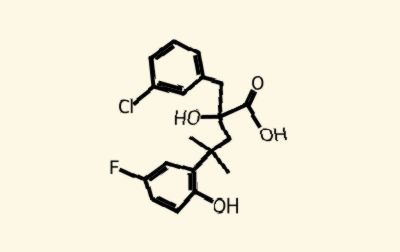 CC(C)(CC(O)(Cc1cccc(Cl)c1)C(=O)O)c1cc(F)ccc1O